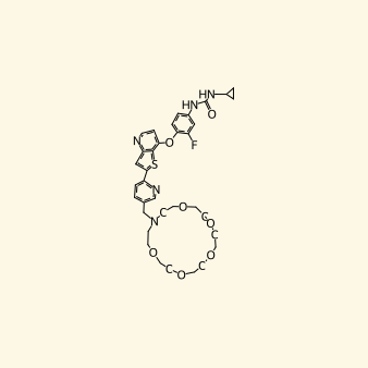 O=C(Nc1ccc(Oc2ccnc3cc(-c4ccc(CN5CCOCCOCCOCCOCCOCC5)cn4)sc23)c(F)c1)NC1CC1